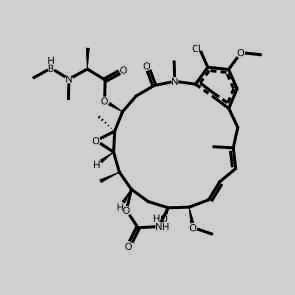 CBN(C)[C@@H](C)C(=O)O[C@H]1CC(=O)N(C)c2cc(cc(OC)c2Cl)C/C(C)=C/C=C/[C@@H](OC)[C@@]2(O)C[C@H](OC(=O)N2)[C@@H](C)[C@@H]2O[C@@]12C